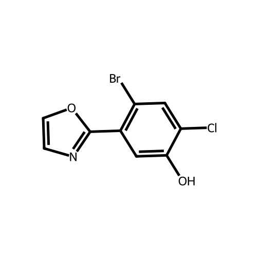 Oc1cc(-c2ncco2)c(Br)cc1Cl